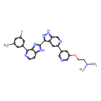 Cc1cc(F)cc(-c2nccc3[nH]c(-c4n[nH]c5cnc(-c6cncc(OCCN(C)C)c6)cc45)nc23)c1